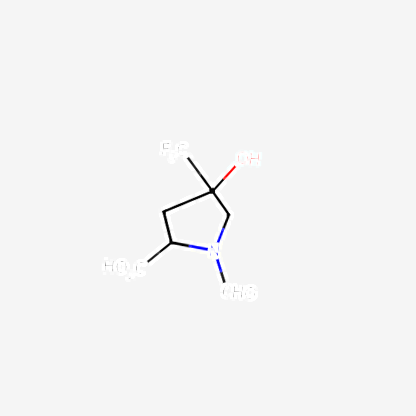 O=CN1CC(O)(C(F)(F)F)CC1C(=O)O